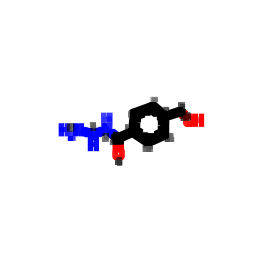 NNNC(=O)c1ccc(CO)cc1